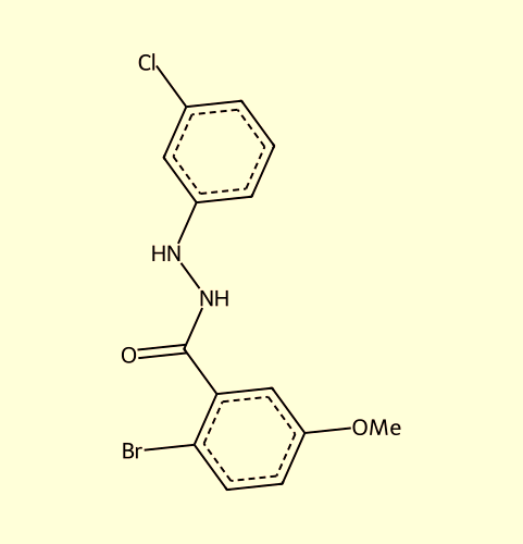 COc1ccc(Br)c(C(=O)NNc2cccc(Cl)c2)c1